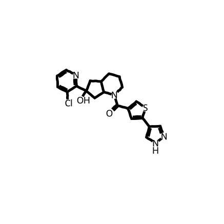 O=C(c1csc(-c2cn[nH]c2)c1)N1CCCC2CC(O)(c3ncccc3Cl)CC21